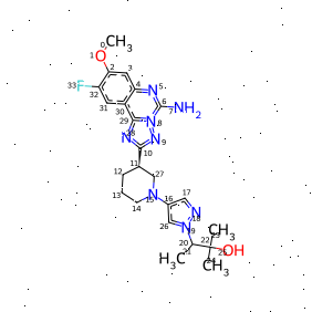 COc1cc2nc(N)n3nc([C@@H]4CCCN(c5cnn(C(C)C(C)(C)O)c5)C4)nc3c2cc1F